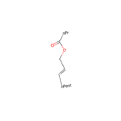 CCCCCC=CCOC(=O)CCC